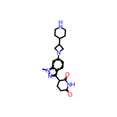 Cn1nc(C2CCC(=O)NC2=O)c2ccc(N3CC(C4CCNCC4)C3)cc21